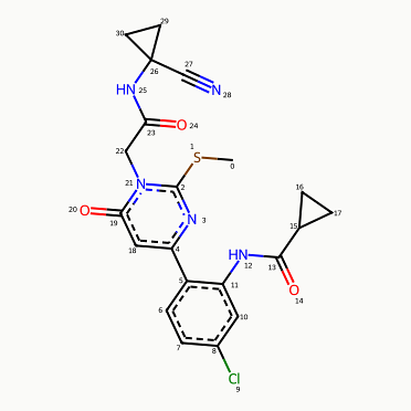 CSc1nc(-c2ccc(Cl)cc2NC(=O)C2CC2)cc(=O)n1CC(=O)NC1(C#N)CC1